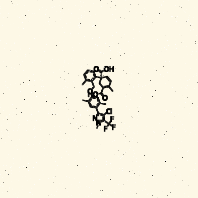 CC1=C(C(=O)O)CC(C(=O)O)(c2cccc(C)c2COc2cc(C)c(-c3nn(C)c(C(F)(F)F)c3Cl)cc2C)C=C1